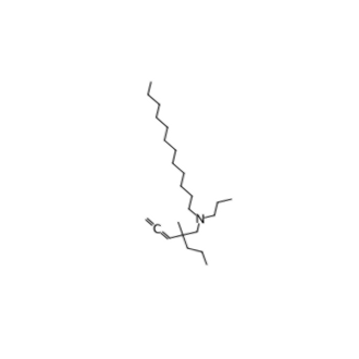 C=C=CC(C)(CCC)CN(CCC)CCCCCCCCCCCC